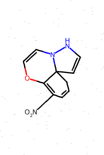 O=[N+]([O-])C1=C2OC=CN3NC=CC23CC=C1